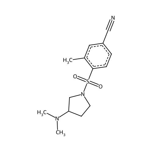 Cc1cc(C#N)ccc1S(=O)(=O)N1CCC(N(C)C)C1